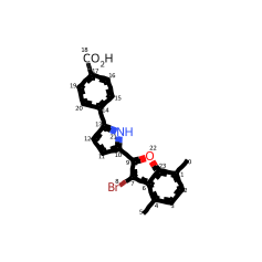 Cc1ccc(C)c2c(Br)c(-c3ccc(-c4ccc(C(=O)O)cc4)[nH]3)oc12